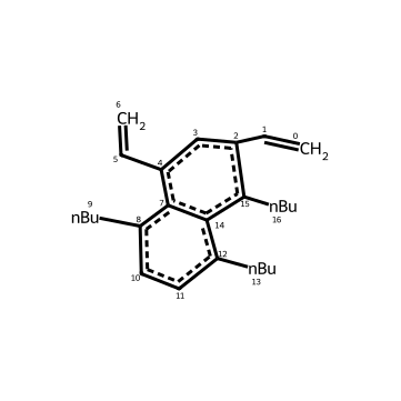 C=Cc1cc(C=C)c2c(CCCC)ccc(CCCC)c2c1CCCC